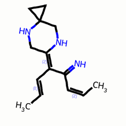 C/C=C\C(=N)C(/C=C/C)=C1/CNC2(CC2)CN1